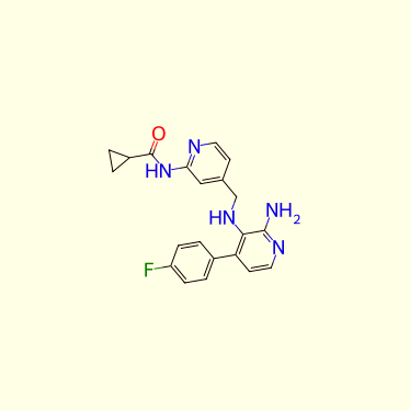 Nc1nccc(-c2ccc(F)cc2)c1NCc1ccnc(NC(=O)C2CC2)c1